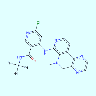 [2H]C([2H])([2H])NC(=O)c1cnc(Cl)cc1Nc1nccc2c1N(C)Cc1nccnc1-2